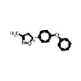 CC1=NO[C@@H](c2ccc(Oc3ccccc3)cc2)C1